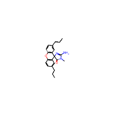 CCCc1ccc2c(c1)C1(N=C(N)N(C)C1=O)c1cc(CCC)ccc1O2